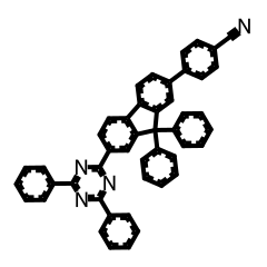 N#Cc1ccc(-c2ccc3c(c2)C(c2ccccc2)(c2ccccc2)c2cc(-c4nc(-c5ccccc5)nc(-c5ccccc5)n4)ccc2-3)cc1